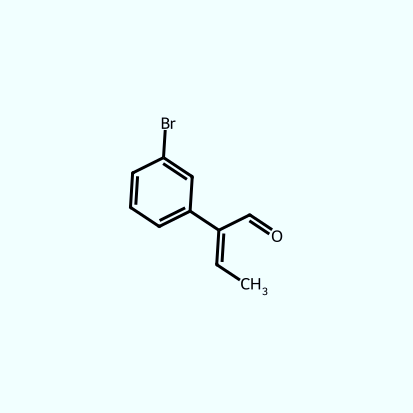 CC=C(C=O)c1cccc(Br)c1